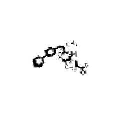 CC(=O)[C@H](CCC(=O)O)NC(=O)[C@@H](C)Cc1ccc(-c2ccccc2)cc1